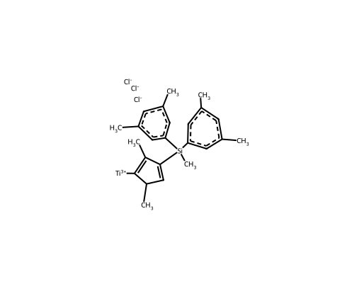 CC1=[C]([Ti+3])C(C)C=C1[Si](C)(c1cc(C)cc(C)c1)c1cc(C)cc(C)c1.[Cl-].[Cl-].[Cl-]